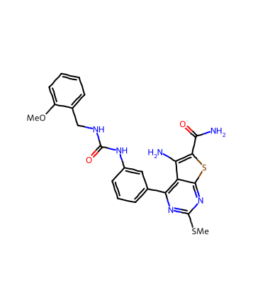 COc1ccccc1CNC(=O)Nc1cccc(-c2nc(SC)nc3sc(C(N)=O)c(N)c23)c1